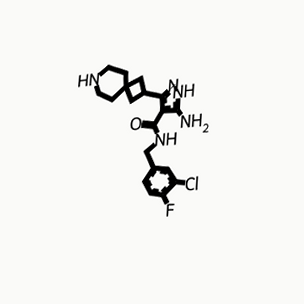 Nc1[nH]nc(C2CC3(CCNCC3)C2)c1C(=O)NCc1ccc(F)c(Cl)c1